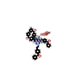 Br.Br.C[N+](C)(CCN(CCc1ccc(C(=O)c2ccccc2)cc1)CN(CCc1ccc(C(=O)c2ccccc2)cc1)CC[N+](C)(C)Cc1ccc(C(=O)c2ccccc2)cc1)Cc1ccc(C(=O)c2ccccc2)cc1.[Br-].[Br-]